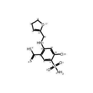 NS(=O)(=O)c1cc(C(=S)S)c(NCC2=CCCO2)cc1Cl